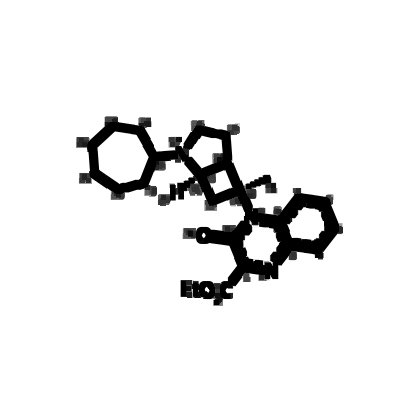 CCOC(=O)c1nc2ccccc2n([C@@]2(C)C[C@@H]3C2CCN3C2CCCCCC2)c1=O